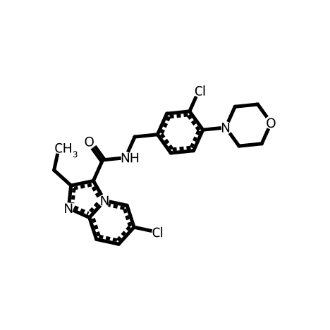 CCc1nc2ccc(Cl)cn2c1C(=O)NCc1ccc(N2CCOCC2)c(Cl)c1